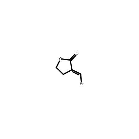 O=C1OCC/C1=C\Br